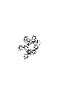 CC1(C)c2ccccc2-c2cc3c(-c4ccccc4)cc(-c4cc(-c5ccccc5)cc(-c5nc(-c6ccccc6)nc(-c6cccc(-c7ccccc7)c6)n5)c4)nc3cc21